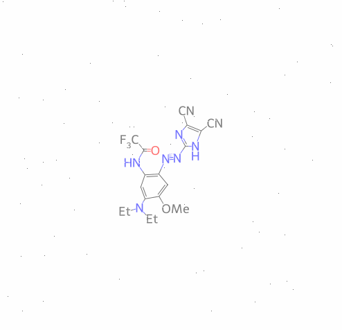 CCN(CC)c1cc(NC(=O)C(F)(F)F)c(/N=N/c2nc(C#N)c(C#N)[nH]2)cc1OC